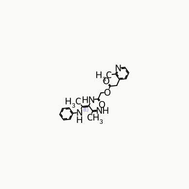 CC(=N)/C(NC(=O)COC(=O)Cc1cccnc1C)=C(/C)Nc1ccccc1